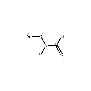 CCC(=O)N(C)OC(C)=O